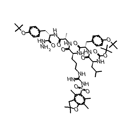 Cc1c(C)c(S(=O)(=O)NC(=N)NCCC[C@H](NC(=O)[C@H](Cc2ccc(OC(C)(C)C)cc2)NC(=O)[C@H](CC(C)C)NC(=O)OC(C)(C)C)C(=O)N[C@@H](C)C(=O)N[C@@H](Cc2ccc(OC(C)(C)C)cc2)C(=O)NN)c(C)c2c1OC(C)(C)C2